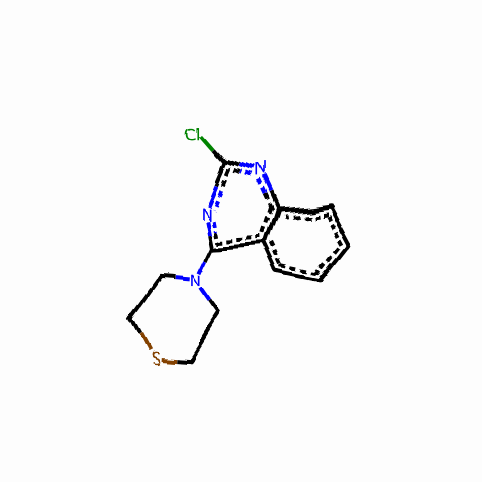 Clc1nc(N2CCSCC2)c2ccccc2n1